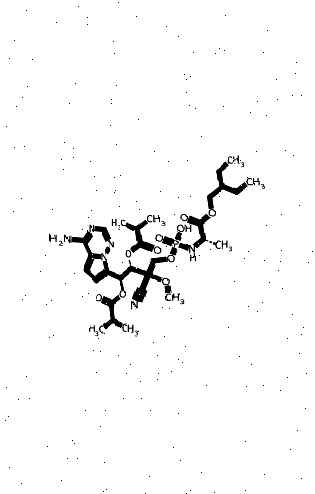 CCC(CC)COC(=O)[C@H](C)NP(=O)(O)OCC(C#N)(OC)[C@@H](OC(=O)C(C)C)[C@@H](OC(=O)C(C)C)c1ccc2c(N)ncnn12